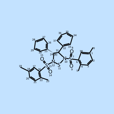 Cc1ccc(C)c(S(=O)(=O)N2SN(S(=O)(=O)c3cc(C)ccc3C)[C@H](c3ccccc3)C2c2ccccc2)c1